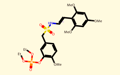 CCOP(=O)(OCC)Oc1cc(CS(=O)(=O)N/C=C/c2c(OC)cc(OC)cc2OC)ccc1OC